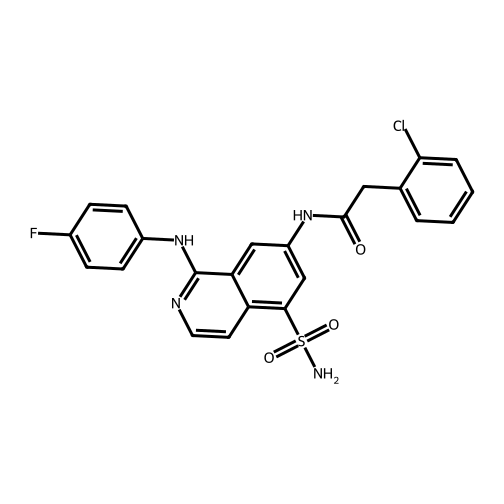 NS(=O)(=O)c1cc(NC(=O)Cc2ccccc2Cl)cc2c(Nc3ccc(F)cc3)nccc12